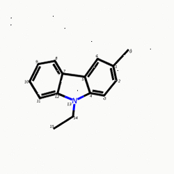 [CH2]c1ccc2c(c1)c1ccccc1n2CC